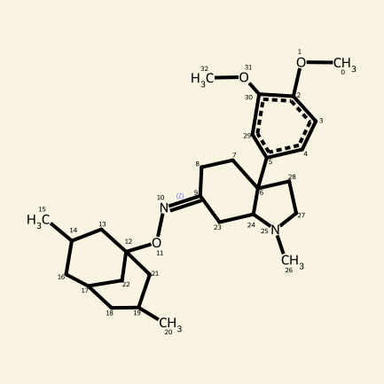 COc1ccc(C23CC/C(=N/OC45CC(C)CC(CC(C)C4)C5)CC2N(C)CC3)cc1OC